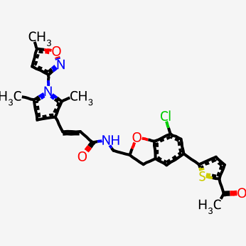 CC(=O)c1ccc(-c2cc(Cl)c3c(c2)CC(CNC(=O)C=Cc2cc(C)n(-c4cc(C)on4)c2C)O3)s1